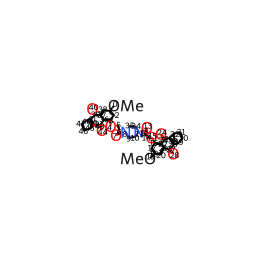 COc1cc(OCC(=O)N2CCN(C(=O)COc3cc(OC)cc4c3C(=O)C3=C(C4=O)C4C=CC3C4)CC2)c2c(c1)C(=O)C1=C(C2=O)C2C=CC1C2